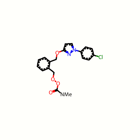 CNC(=O)OOCc1ccccc1COc1ccn(-c2ccc(Cl)cc2)n1